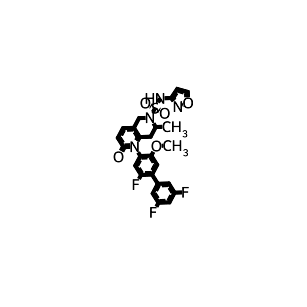 COc1cc(-c2cc(F)cc(F)c2)c(F)cc1-n1c2c(ccc1=O)CN(S(=O)(=O)Nc1ccon1)C(C)C2